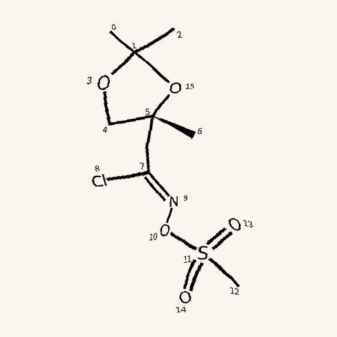 CC1(C)OC[C@@](C)(/C(Cl)=N/OS(C)(=O)=O)O1